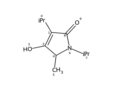 CC(C)C1=C(O)C(C)N(C(C)C)C1=O